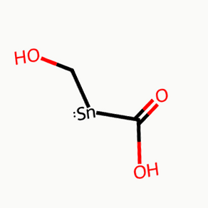 O=[C](O)[Sn][CH2]O